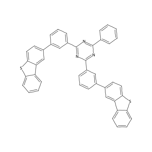 c1ccc(-c2nc(-c3cccc(-c4ccc5sc6ccccc6c5c4)c3)nc(-c3cccc(-c4ccc5sc6ccccc6c5c4)c3)n2)cc1